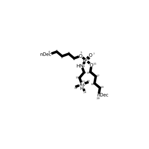 CCCCCCCCCCCCCCOP(=O)(NCC[AsH](C)(C)C)OCCCCCCCCCCCCCC